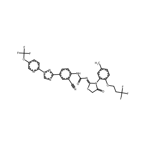 Cc1ccc(OCCC(F)(F)F)c(N2C(=O)CS/C2=N\C(=O)Nc2ccc(-c3ncn(-c4ccc(OC(F)(F)F)cn4)n3)cc2C#N)c1